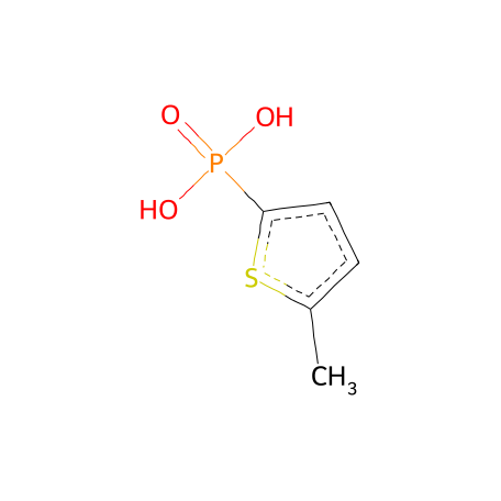 Cc1ccc(P(=O)(O)O)s1